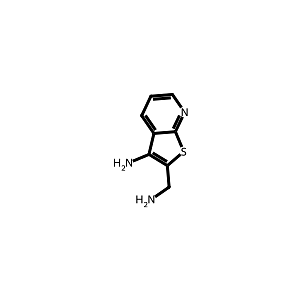 NCc1sc2ncccc2c1N